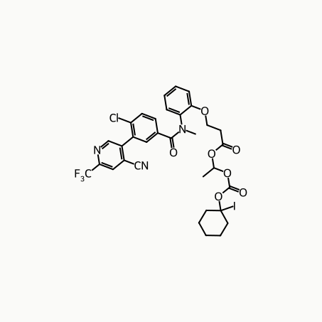 CC(OC(=O)CCOc1ccccc1N(C)C(=O)c1ccc(Cl)c(-c2cnc(C(F)(F)F)cc2C#N)c1)OC(=O)OC1(I)CCCCC1